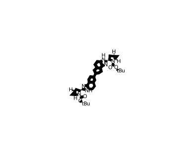 CC(C)(C)OC(=O)N1[C@@H]2C[C@@H]2C[C@H]1c1nc2c([nH]1)CCc1cc(-c3ccc4c(ccc5[nH]c([C@@H]6C[C@H]7C[C@H]7N6C(=O)OC(C)(C)C)nc54)c3)ccc1-2